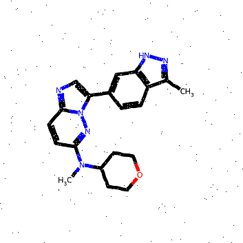 Cc1n[nH]c2cc(-c3cnc4ccc(N(C)C5CCOCC5)nn34)ccc12